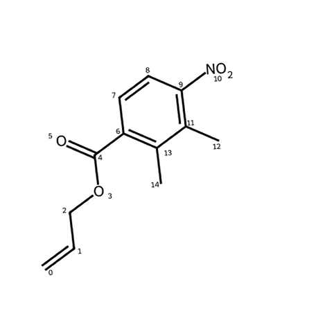 C=CCOC(=O)c1ccc([N+](=O)[O-])c(C)c1C